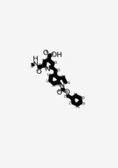 CNC(=O)c1cc(C(=O)O)cc(Cc2cccc3c2ccn3C(=O)OCc2ccccc2)n1